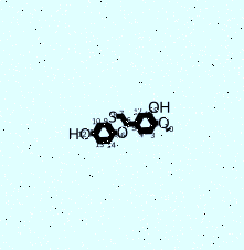 COc1ccc(C2CSc3cc(O)ccc3O2)cc1O